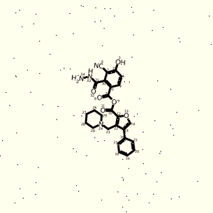 N#Cc1c(O)ccc(C(=O)OC(=O)c2occ(-c3ccccc3)c2CN2CCCCC2)c1C(=O)NN